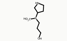 O=C(O)N(CCCO)C1CCNC1